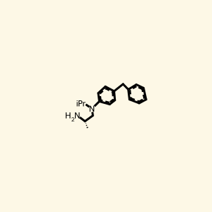 CC(C)N(C[C@H](C)N)c1ccc(Cc2ccccc2)cc1